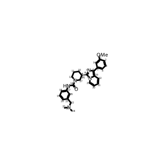 COc1cccc(-c2nc([C@@H]3CCCN(C(=O)Nc4cccc(CN(C)C)c4)C3)n3ccccc23)c1